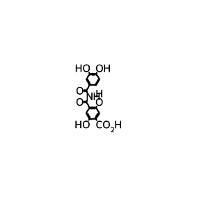 O=C(NC(=O)c1cc(O)c(C(=O)O)cc1O)c1ccc(O)c(O)c1